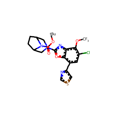 CC(C)(C)OC(=O)N1C2CCC1CN(c1nc3c(OC(F)(F)F)c(Cl)cc(-c4cscn4)c3o1)C2